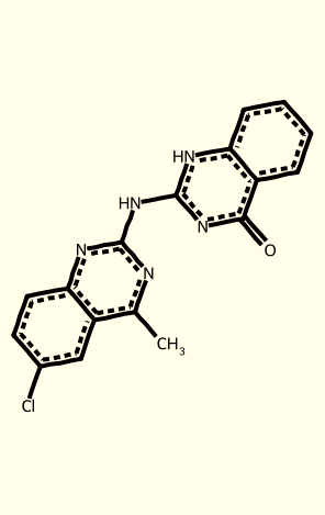 Cc1nc(Nc2nc(=O)c3ccccc3[nH]2)nc2ccc(Cl)cc12